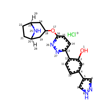 Cl.Oc1cc(-c2cn[nH]c2)ccc1-c1ccc(OC2C[C@H]3CC[C@@H](C2)N3)nn1